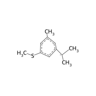 CSc1cc(C)cc([C](C)C)c1